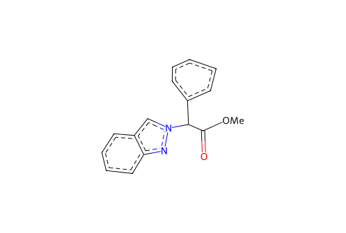 COC(=O)C(c1ccccc1)n1cc2ccccc2n1